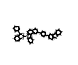 c1ccc(-c2nc(-n3c4ccccc4c4c5cc(-c6ccc(-c7ccc8sc9ccccc9c8c7)cc6)ccc5ccc43)nc3ccccc23)cc1